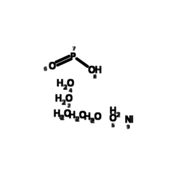 O.O.O.O.O.O.O=PO.[Ni]